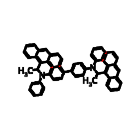 CC(c1c2ccccc2cc2ccccc12)N(c1ccccc1)c1ccc(-c2ccc(N(c3ccccc3)C(C)c3c4ccccc4cc4ccccc34)cc2)cc1